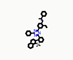 C=Cc1cc(-c2nc(-c3ccccc3)nc(-c3cccc4c3-c3ccc5ccccc5c3[Si]4(C)C)n2)ccc1/C=C(\C)c1ccccc1